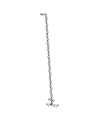 COCCOCCOCCOCCOCCOCCOCCOCCOCCOCCOCCOCCOCCOCCOCCOCCOCCOCCOCCOCCOCCOCCOCCOCCNC(=O)CC[C@H](N)C(=O)O